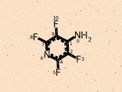 Nc1c(F)c(F)nc(F)c1F